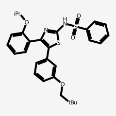 CC(C)Oc1ccccc1-c1nc(NS(=O)(=O)c2ccccc2)sc1-c1cccc(OCC(C)(C)C)c1